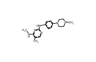 CNc1nc(Nc2ccc(N3CCN(C)CC3)cc2)ncc1C